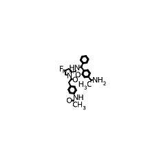 CC(=O)Nc1ccc(CC(=O)N2C[C@H](F)C[C@H]2C(=O)N[C@@H](c2ccccc2)c2ccc(C(C)N)cc2)cc1